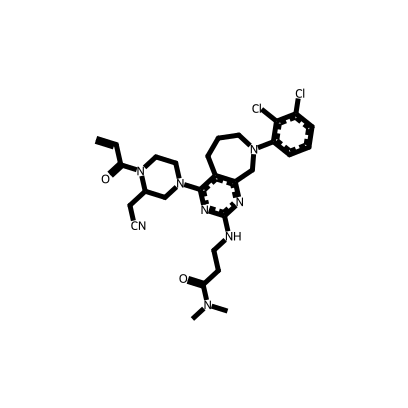 C=CC(=O)N1CCN(c2nc(NCCC(=O)N(C)C)nc3c2CCCN(c2cccc(Cl)c2Cl)C3)CC1CC#N